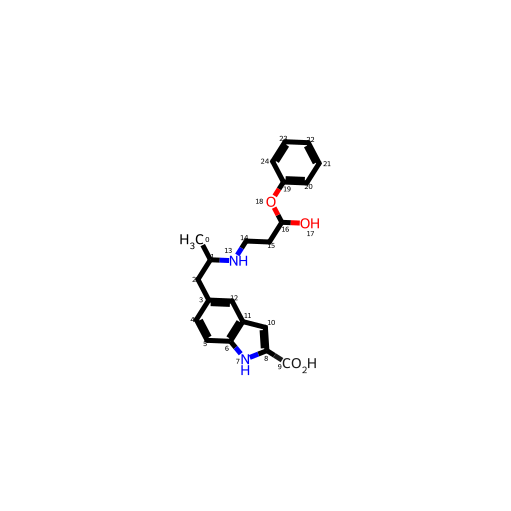 CC(Cc1ccc2[nH]c(C(=O)O)cc2c1)NCCC(O)Oc1ccccc1